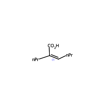 CCC/C=C(/CCC)C(=O)O